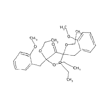 CCOC(Cc1ccccc1OC)(OCC)C(=O)C(Cc1ccccc1OC)(OCC)OCC